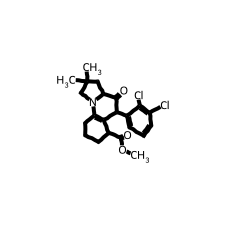 COC(=O)C1CCCC2=C1C(c1cccc(Cl)c1Cl)C(=O)C1CC(C)(C)CN21